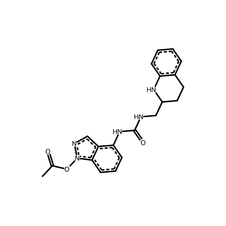 CC(=O)On1ncc2c(NC(=O)NCC3CCc4ccccc4N3)cccc21